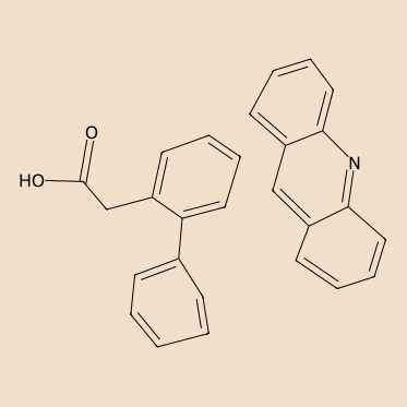 O=C(O)Cc1ccccc1-c1ccccc1.c1ccc2nc3ccccc3cc2c1